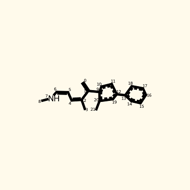 C=C(/C(C)=C\C=C/NC)c1ccc(-c2ccccc2)cc1C